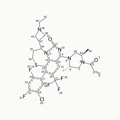 C=CC(=O)N1C[C@H](C)N(c2nc(=O)n3c4c(c(-c5cc(Cl)c(F)cc5F)c(C(F)(F)F)cc24)SCCC3C2CN(CC)C2)C[C@H]1C